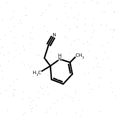 CC1=CC=CC(C)(CC#N)N1